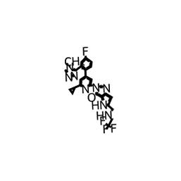 Cn1cnnc1-c1cc(F)ccc1-c1cc(C2CC2)nc(-n2cnc3cc(CNCC(F)(F)F)[nH]c3c2=O)c1